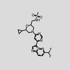 CS(=O)(=O)NCC1CN(c2cc(-c3cnc4ccc(C(F)F)nn34)ncn2)CC(C2CC2)O1